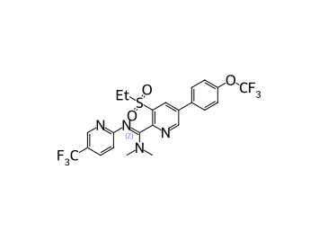 CCS(=O)(=O)c1cc(-c2ccc(OC(F)(F)F)cc2)cnc1/C(=N/c1ccc(C(F)(F)F)cn1)N(C)C